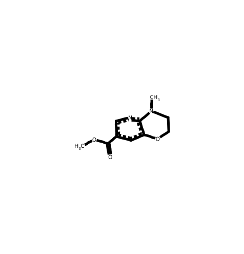 COC(=O)c1cnc2c(c1)OCCN2C